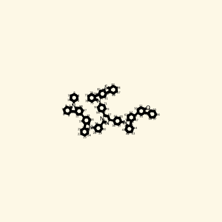 c1ccc(-n2c3ccccc3c3cc(-c4ccc5c(c4)c4ccccc4n5-c4cccc(-c5nc(-c6ccc(-n7c8ccccc8c8cc(-c9ccc%10oc%11ccccc%11c%10c9)ccc87)cc6)cc(-c6ccc(-n7c8ccccc8c8cc9sc%10ccccc%10c9cc87)cc6)n5)c4)ccc32)cc1